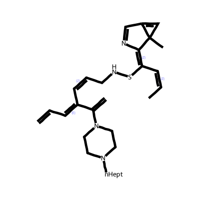 C=C/C=C(\C=C/CNSC(/C=C\C)=C1\N=CC2=CC21C)C(=C)N1CCN(CCCCCCC)CC1